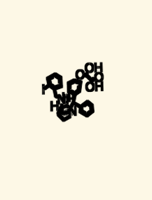 Ic1ccccc1CN[C@@H]1C2CCN(CC2)[C@@H]1C(c1ccccc1)c1ccccc1.O=C(O)C(=O)O